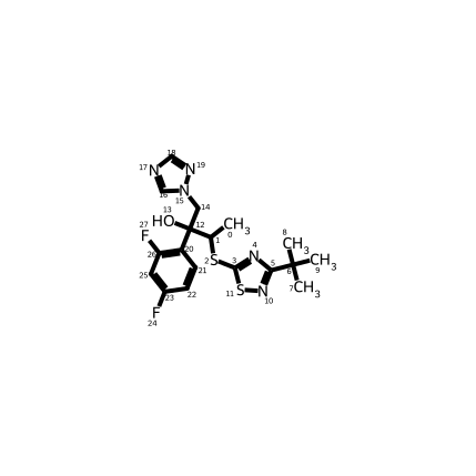 CC(Sc1nc(C(C)(C)C)ns1)C(O)(Cn1cncn1)c1ccc(F)cc1F